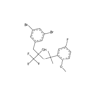 COc1ccc(F)cc1C(C)(C)CC(O)(Cc1cc(Br)cc(Br)c1)C(F)(F)F